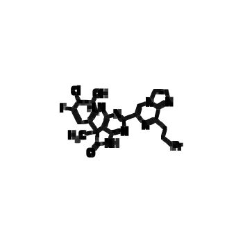 CC(C)CCc1nc(-c2nc(N)c3c(n2)NC(=O)C3(C)c2cc(O)c(Cl)c(F)c2)cn2ccnc12